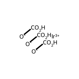 O=C([O-])O.O=C([O-])O.O=C([O-])O.[Ir+3]